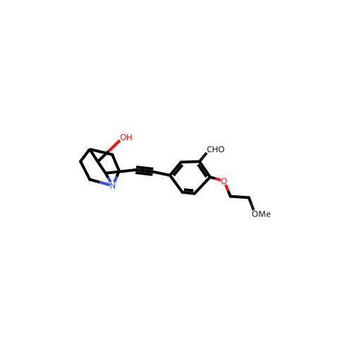 COCCOc1ccc(C#CC2C(O)C3CCN2CC3)cc1C=O